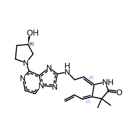 C=C/C=C1\C(=C/CNc2nc3c(N4CC[C@@H](O)C4)nccn3n2)NC(=O)C1(C)C